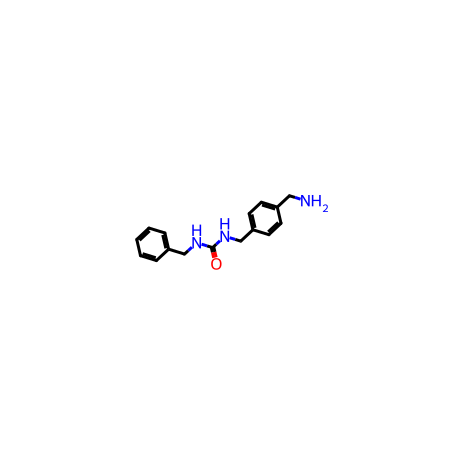 NCc1ccc(CNC(=O)NCc2ccccc2)cc1